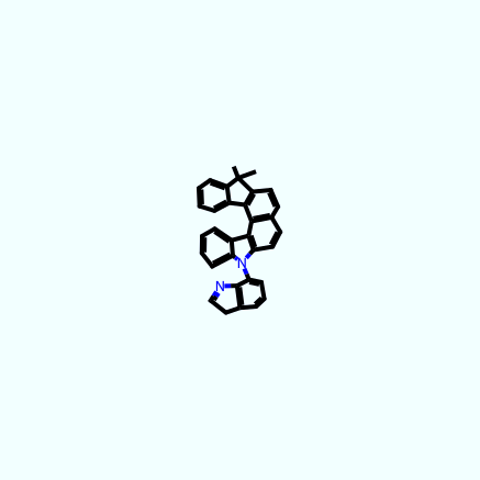 CC1(C)c2ccccc2-c2c1ccc1ccc3c(c4ccccc4n3-c3cccc4c3N=CC4)c21